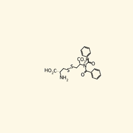 N[C@@H](CSSC[C@@H](C(=O)O)N(C(=O)c1ccccc1)C(=O)c1ccccc1)C(=O)O